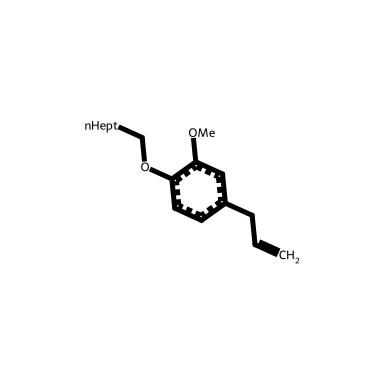 C=CCc1ccc(OCCCCCCCC)c(OC)c1